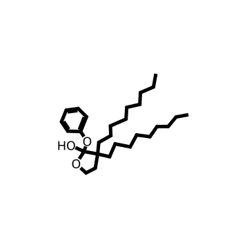 CCCCCCCCCC1(CCCCCCCCC)CCOC1(O)Oc1ccccc1